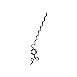 CCCCCCCCCCCCCCOc1ccc(C(=O)OCC)cc1